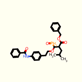 CC(C)CC(C(=O)OCc1ccccc1)C(OCCc1ccc(NC(=O)c2ccccc2)cc1)[PH2]=O